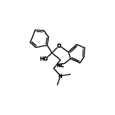 CN(C)CCC(O)(Oc1ccccc1C#N)c1ccccc1